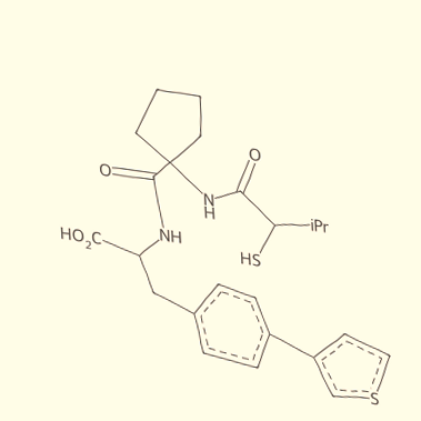 CC(C)C(S)C(=O)NC1(C(=O)NC(Cc2ccc(-c3ccsc3)cc2)C(=O)O)CCCC1